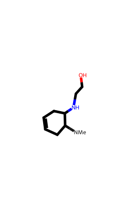 CNC1CC=CCC1NCCO